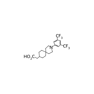 O=C(O)CC1CCC2(CC1)CCN(c1cc(C(F)(F)F)cc(C(F)(F)F)c1)CC2